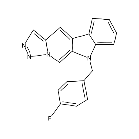 Fc1ccc(Cn2c3ccccc3c3cc4cnnn4cc32)cc1